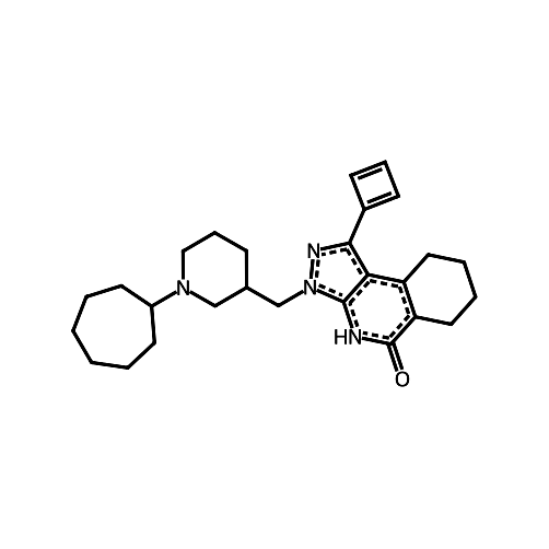 O=c1[nH]c2c(c(C3=CC=C3)nn2CC2CCCN(C3CCCCCC3)C2)c2c1CCCC2